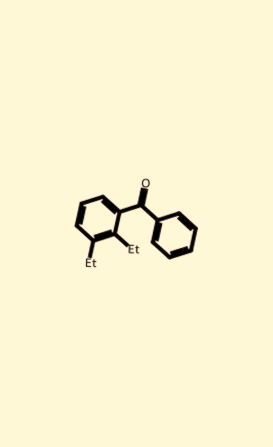 CCc1cccc(C(=O)c2ccccc2)c1CC